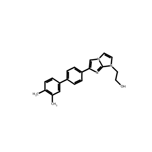 Cc1ccc(-c2ccc(-c3cn4ccn(CCO)c4n3)cc2)cc1C